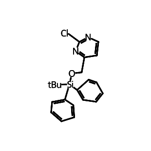 CC(C)(C)[Si](OCc1ccnc(Cl)n1)(c1ccccc1)c1ccccc1